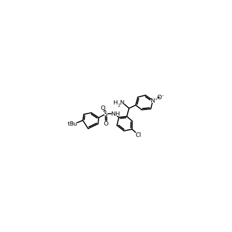 CC(C)(C)c1ccc(S(=O)(=O)Nc2ccc(Cl)cc2C(N)c2cc[n+]([O-])cc2)cc1